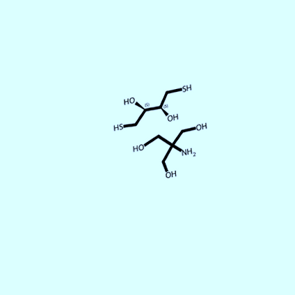 NC(CO)(CO)CO.O[C@H](CS)[C@H](O)CS